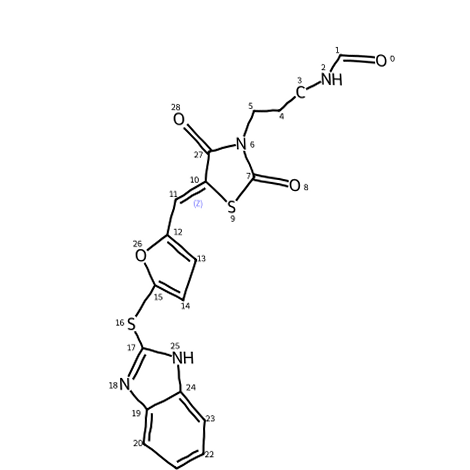 O=CNCCCN1C(=O)S/C(=C\c2ccc(Sc3nc4ccccc4[nH]3)o2)C1=O